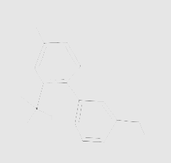 OCc1cccc(-c2ccc(F)cc2C(F)(F)F)c1